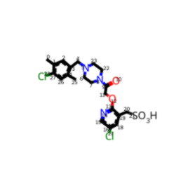 Cc1cc(CN2CCN(C(=O)COc3ncc(Cl)cc3CS(=O)(=O)O)CC2)c(C)cc1Cl